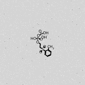 Cc1ccccc1S(=O)(=O)CCOP(=O)(O)OP(=O)(O)O